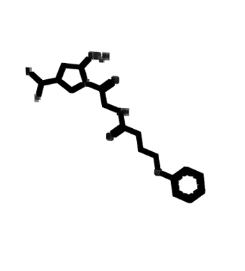 O=C(CCCOc1ccccc1)NCC(=O)N1CC(C(F)F)CC1C(=O)O